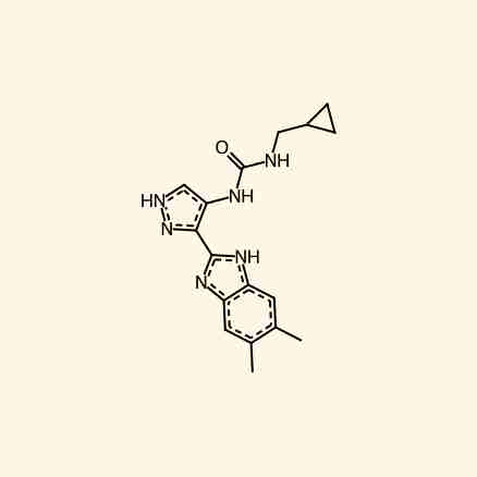 Cc1cc2nc(-c3n[nH]cc3NC(=O)NCC3CC3)[nH]c2cc1C